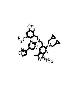 Cc1nn(C(C)(C)C)c2nc(N(CC3CC3)CC3CC3)c(CN(Cc3cc(C(F)(F)F)cc(C(F)(F)F)c3)c3ncc(-c4ccon4)cn3)cc12